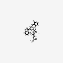 CN(CC(N)=O)C(=O)OCc1cccc2nnc([C@@H](COCc3c(F)cccc3F)NC(=O)C(C)(C)N)n12